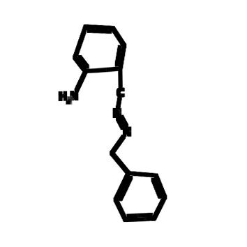 Nc1ccccc1CN=NCc1ccccc1